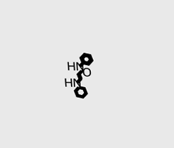 O=C(C=CNC1CCCCC1)Nc1ccccc1